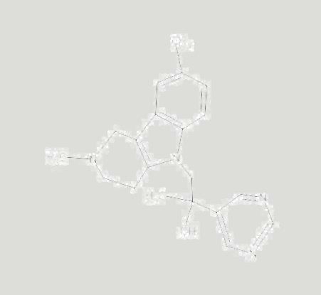 Cc1ccc2c(c1)c1c(n2CC(C)(O)c2cncnc2)CCN(C)C1